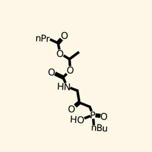 CCCCP(=O)(O)CC(=O)CNC(=O)OC(C)OC(=O)CCC